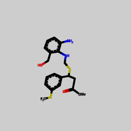 COC(=O)CC(SCNc1c(N)cccc1CO)c1cccc(SC(F)(F)F)c1